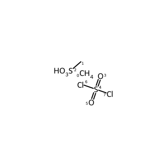 C.CS(=O)(=O)O.O=S(=O)(Cl)Cl